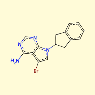 Nc1ncnc2c1c(Br)cn2C1Cc2ccccc2C1